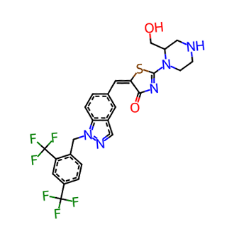 O=C1N=C(N2CCNCC2CO)SC1=Cc1ccc2c(cnn2Cc2ccc(C(F)(F)F)cc2C(F)(F)F)c1